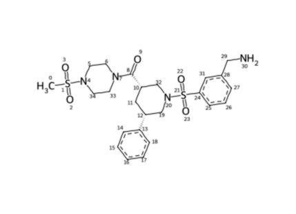 CS(=O)(=O)N1CCN(C(=O)[C@H]2C[C@@H](c3ccccc3)CN(S(=O)(=O)c3cccc(CN)c3)C2)CC1